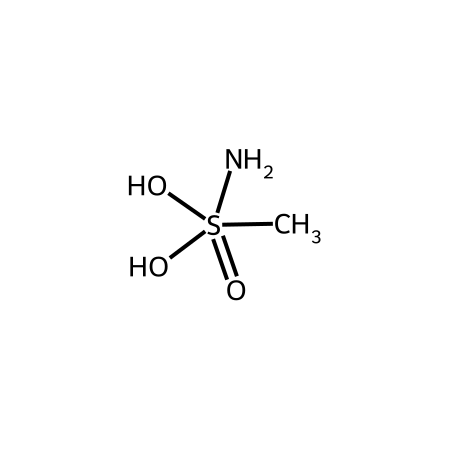 CS(N)(=O)(O)O